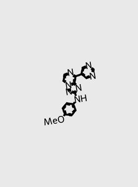 COc1ccc(Nc2nc3c(-c4cncnc4)nccn3n2)cc1